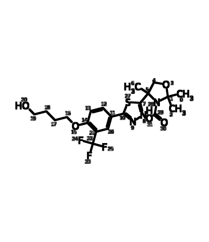 CC1(C)OCC(C)(c2nnc(-c3ccc(OCCCCO)c(C(F)(F)F)c3)s2)N1C(=O)O